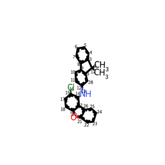 CC1(C)c2ccccc2-c2ccc(Nc3c(Cl)ccc4oc5ccccc5c34)cc21